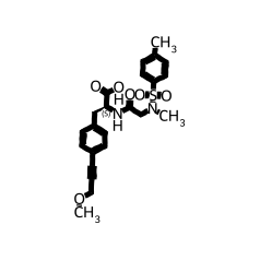 COCC#Cc1ccc(C[C@H](NC(=O)CN(C)S(=O)(=O)c2ccc(C)cc2)C(=O)O)cc1